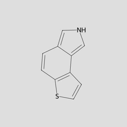 c1cc2c(ccc3c[nH]cc32)s1